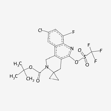 CC(C)(C)OC(=O)N1Cc2c(c(OS(=O)(=O)C(F)(F)F)nc3c(F)cc(Cl)cc23)CC12CC2